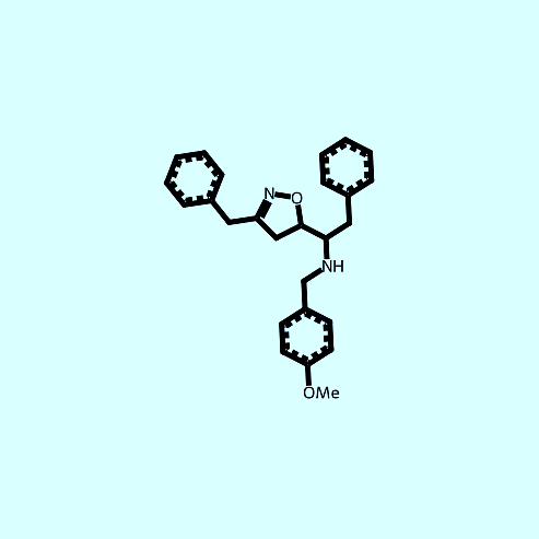 COc1ccc(CNC(Cc2ccccc2)C2CC(Cc3ccccc3)=NO2)cc1